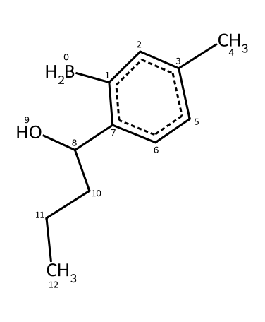 Bc1cc(C)ccc1C(O)CCC